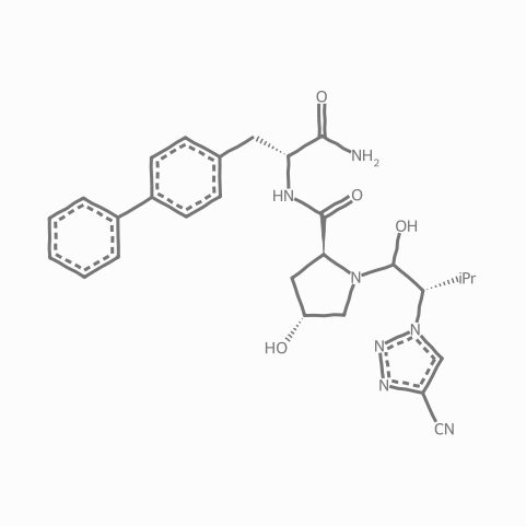 CC(C)[C@@H](C(O)N1C[C@H](O)C[C@H]1C(=O)N[C@H](Cc1ccc(-c2ccccc2)cc1)C(N)=O)n1cc(C#N)nn1